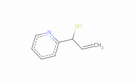 C=CC(S)c1ccccn1